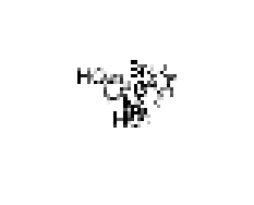 CC(C)N(C(=O)C(CO)CC1=CC=CC(Br)C1)c1ccc(O)cc1